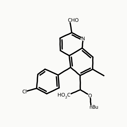 CCCCOC(C(=O)O)c1c(C)cc2nc(C=O)ccc2c1-c1ccc(Cl)cc1